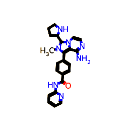 CN1C(c2ccc(C(=O)Nc3ccccn3)cc2)=C2C(N)=NC=CN2C1C1CCCN1